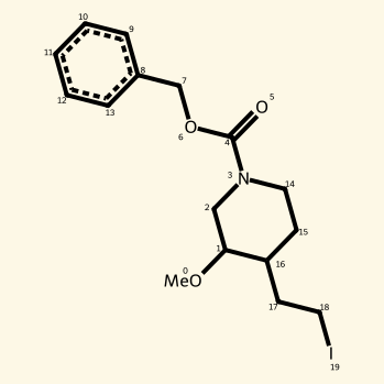 COC1CN(C(=O)OCc2ccccc2)CCC1CCI